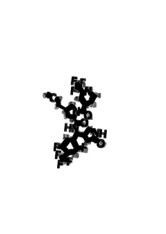 C=C=CC[C@@H]1C[C@H](C(=O)NC(c2cc(F)c(C(F)(F)F)cc2F)C2CNC(=O)C2)N(C(=O)c2ccnc(C(F)(F)F)c2)C1